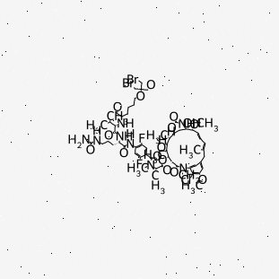 COc1cc2cc(c1Cl)N(C)C(=O)C[C@H](OC(=O)[C@H](C)N(C)C(=O)c1cc(F)c(NC(=O)[C@H](CCCNC(N)=O)NC(=O)[C@@H](NC(C=O)CCCCOC(C=O)(CBr)CBr)C(C)C)cc1F)[C@]1(C)O[C@H]1[C@H](C)[C@@H]1C[C@@](O)(NC(=O)O1)[C@H](OC)/C=C/C=C(\C)C2